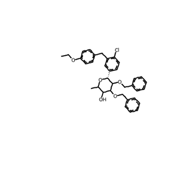 CCOc1ccc(Cc2cc([C@H]3OC(C)C(O)C(OCc4ccccc4)C3OCc3ccccc3)ccc2Cl)cc1